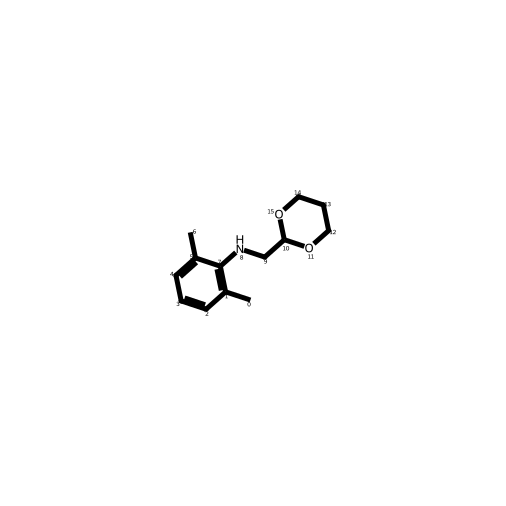 Cc1cccc(C)c1NCC1OCCCO1